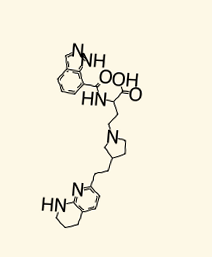 O=C(NC(CCN1CCC(CCc2ccc3c(n2)NCCC3)C1)C(=O)O)c1cccc2cn[nH]c12